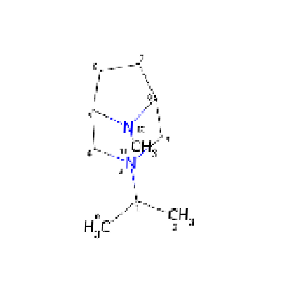 CC(C)N1CC2CCC(C1)N2C